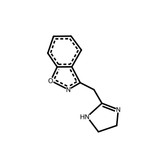 c1ccc2c(CC3=NCCN3)noc2c1